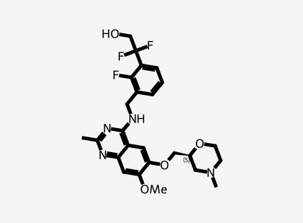 COc1cc2nc(C)nc(NCc3cccc(C(F)(F)CO)c3F)c2cc1OC[C@@H]1CN(C)CCO1